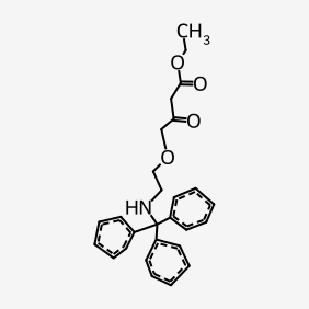 CCOC(=O)CC(=O)COCCNC(c1ccccc1)(c1ccccc1)c1ccccc1